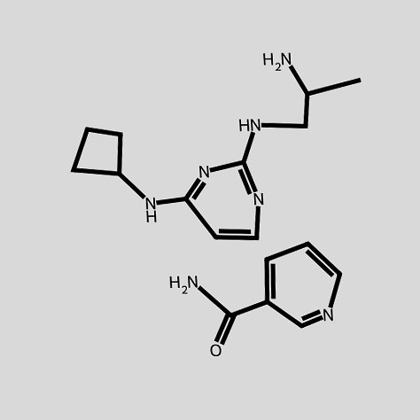 CC(N)CNc1nccc(NC2CCC2)n1.NC(=O)c1cccnc1